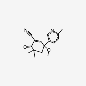 COC1(c2ccc(C)nc2)C=C(C#N)C(=O)C(C)(C)C1